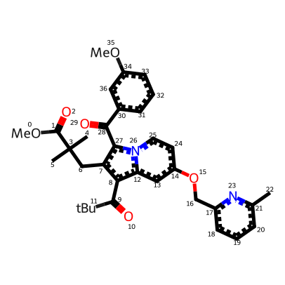 COC(=O)C(C)(C)Cc1c(C(=O)C(C)(C)C)c2cc(OCc3cccc(C)n3)ccn2c1C(=O)c1cccc(OC)c1